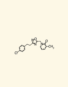 Cc1cccn(Cc2nc(CCc3ccc(Cl)cc3)no2)c1=O